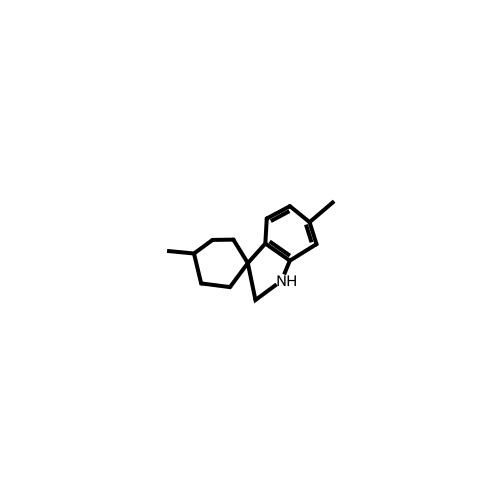 Cc1ccc2c(c1)NCC21CCC(C)CC1